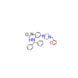 O=[N+]([O-])c1ccc(N2CCN(Cc3ccco3)CC2)cc1NC(c1ccccc1)c1ccccc1